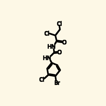 O=C(NC(=O)C(Cl)CCl)Nc1ccc(Br)c(Cl)c1